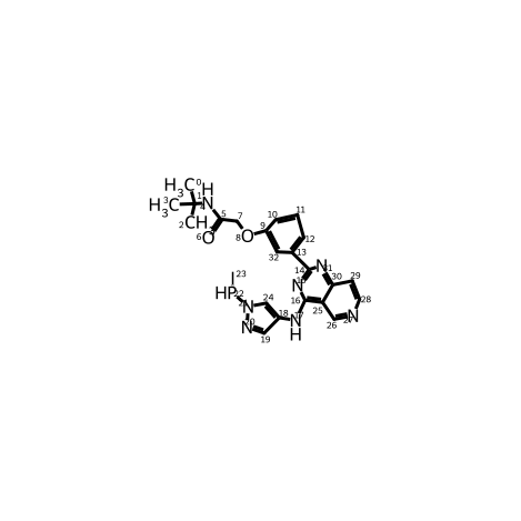 CC(C)(C)NC(=O)COc1cccc(-c2nc(Nc3cnn(PI)c3)c3cnccc3n2)c1